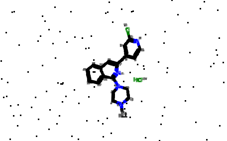 CCN1CCN(c2nc(-c3ccnc(Cl)c3)cc3ccccc23)CC1.Cl